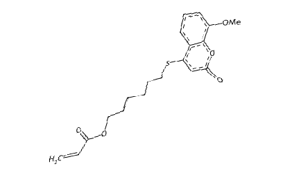 C=CC(=O)OCCCCCCSc1cc(=O)oc2c(OC)cccc12